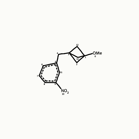 COC12CC(Cc3cccc([N+](=O)[O-])c3)(C1)C2